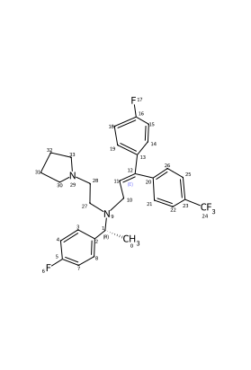 C[C@H](c1ccc(F)cc1)N(C/C=C(/c1ccc(F)cc1)c1ccc(C(F)(F)F)cc1)CCN1CCCC1